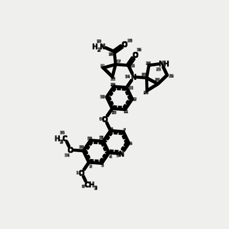 COc1cc2nccc(Oc3ccc(N(C(=O)C4(C(N)=O)CC4)C45CNCC4C5)cc3)c2cc1OC